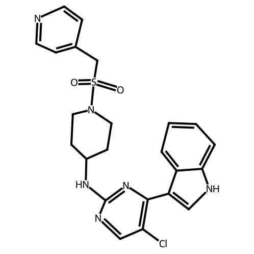 O=S(=O)(Cc1ccncc1)N1CCC(Nc2ncc(Cl)c(-c3c[nH]c4ccccc34)n2)CC1